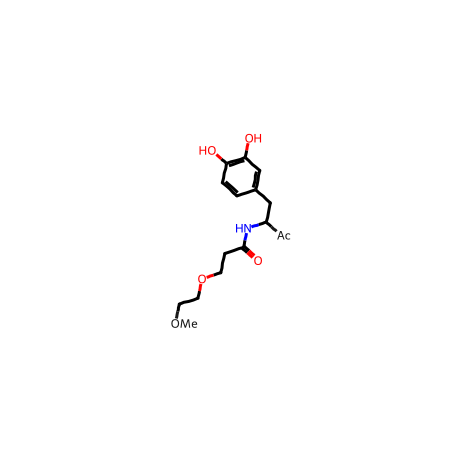 COCCOCCC(=O)NC(Cc1ccc(O)c(O)c1)C(C)=O